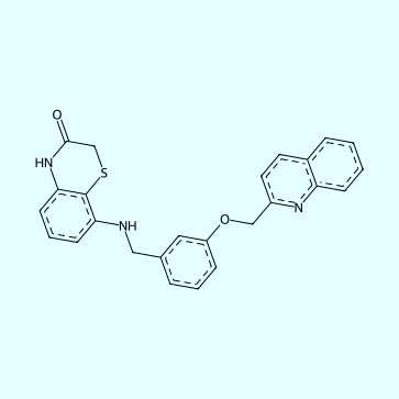 O=C1CSc2c(NCc3cccc(OCc4ccc5ccccc5n4)c3)cccc2N1